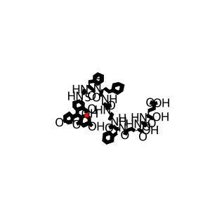 O=C(O)CC[C@H](NC(=O)N[C@@H](CCC(=O)N[C@@H](Cc1ccccc1)C(=O)NCCNC(=O)CNC(=O)[C@H](CCc1ccccc1)NC(=O)[C@H](Cc1ccccc1)NC(=S)Nc1ccc(-c2c3ccc(=O)cc-3oc3cc(O)ccc23)c(C(=O)O)c1)C(=O)O)C(=O)O